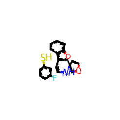 C1=Cc2c(oc3ccccc23)C2(C=COC2)N1.Fc1cccc(S)c1